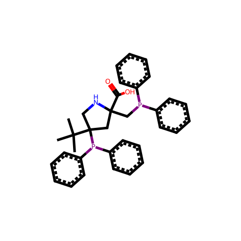 CC(C)(C)C1(P(c2ccccc2)c2ccccc2)CNC(CP(c2ccccc2)c2ccccc2)(C(=O)O)C1